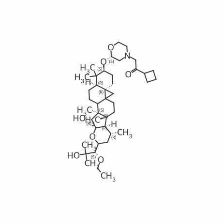 CCO[C@@H](C1C[C@@H](C)[C@H]2C(O1)[C@H](O)[C@@]1(C)C3CC[C@H]4C(C)(C)[C@@H](O[C@H]5CN(CC(=O)C6CCC6)CCO5)CC[C@@]45CC35CC[C@]21C)C(C)(C)O